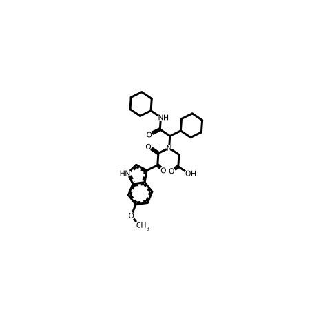 COc1ccc2c(C(=O)C(=O)N(CC(=O)O)C(C(=O)NC3CCCCC3)C3CCCCC3)c[nH]c2c1